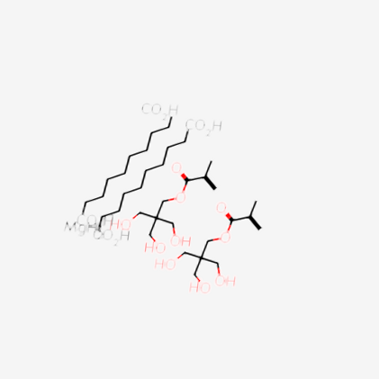 C=C(C)C(=O)OCC(CO)(CO)CO.C=C(C)C(=O)OCC(CO)(CO)CO.O=C(O)CCCCCCCCC(=O)O.O=C(O)CCCCCCCCC(=O)O.[MgH2]